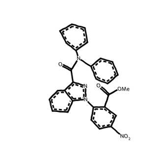 COC(=O)c1cc([N+](=O)[O-])ccc1-n1nc(C(=O)N(c2ccccc2)c2ccccc2)c2ccccc21